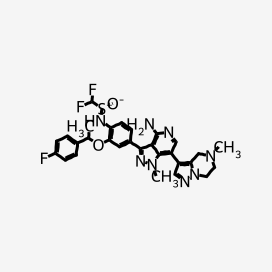 CC(Oc1cc(-c2nn(C)c3c(-c4cnn5c4CN(C)CC5)cnc(N)c23)ccc1N[S+]([O-])C(F)F)c1ccc(F)cc1